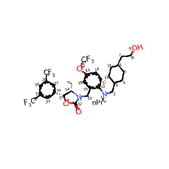 CCCN(CC1CCC(CCO)CC1)c1ccc(OC(F)(F)F)cc1CN1C(=O)O[C@H](c2cc(C(F)(F)F)cc(C(F)(F)F)c2)[C@@H]1C